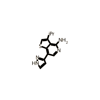 CC(C)c1csc2c(-c3cc[nH]n3)cnc(N)c12